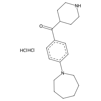 Cl.Cl.O=C(c1ccc(N2CCCCCC2)cc1)C1CCNCC1